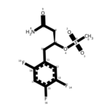 CS(=O)(=O)O[C@H](CC(N)=O)Cc1cc(F)c(F)cc1F